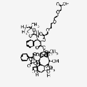 CC(=O)O[C@]12CO[C@H]1C[C@@H](O)[C@]1(C)C(=O)[C@@H](O)C3=C(C)[C@H](OC(=O)[C@@H](OC(=O)COCCOCCOCC(=O)O)[C@H](NC(=O)OC(C)(C)C)c4ccccc4)C[C@](O)([C@H](OC(=O)c4ccccc4)[C@@H]21)C3(C)C